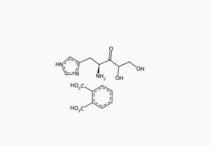 N[C@@H](Cc1c[nH]cn1)C(=O)C(O)CO.O=C(O)c1ccccc1C(=O)O